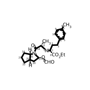 CCOC(=O)[C@H](CCc1ccc(C)cc1)N[C@@H](C)C(=O)N1[C@H](OC=O)C[C@@H]2CCC[C@@H]21